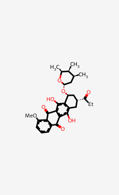 CCC(=O)[C@@H]1Cc2c(O)c3c(c(O)c2[C@@H](O[C@H]2C[C@H](C)[C@H](C)[C@H](C)O2)C1)C(=O)c1c(OC)cccc1C3=O